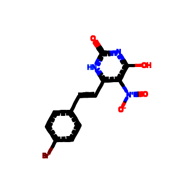 O=c1nc(O)c([N+](=O)[O-])c(C=Cc2ccc(Br)cc2)[nH]1